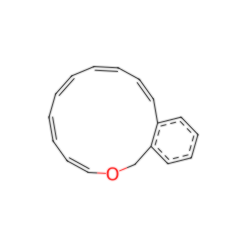 C1=C\C=C/C=C\c2ccccc2CO/C=C\C=C/1